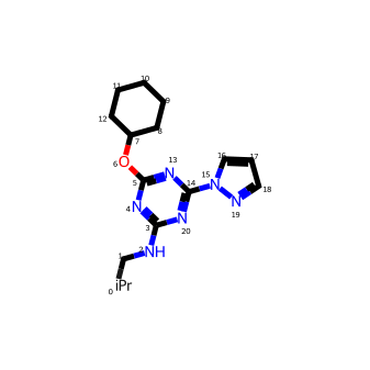 CC(C)CNc1nc(OC2CCCCC2)nc(-n2cccn2)n1